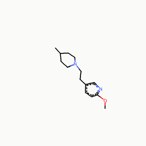 COc1ccc(CCN2CCC(C)CC2)cn1